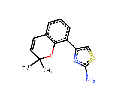 CC1(C)C=Cc2cccc(-c3csc(N)n3)c2O1